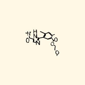 COCCOC(=O)c1cc(-c2ncc(C(=O)N(C)C)[nH]2)c(C)cc1C